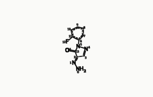 N/N=C1\C=NN(c2ccccc2F)C1=O